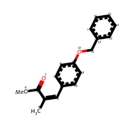 COC(=O)C(C)=Cc1ccc(OCc2ccccc2)cc1